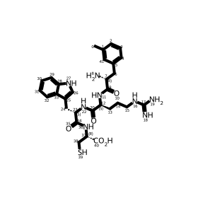 Cc1cccc(C[C@@H](N)C(=O)N[C@@H](CCCNC(=N)N)C(=O)N[C@@H](Cc2c[nH]c3ccccc23)C(=O)N[C@@H](CS)C(=O)O)c1